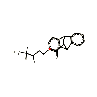 O=C(OCCC(F)C(F)(F)S(=O)(=O)O)C1CC2c3ccccc3C1c1ccccc12